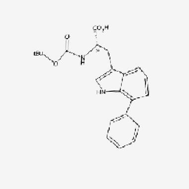 CC(C)(C)OC(=O)N[C@@H](Cc1c[nH]c2c(-c3ccccc3)cccc12)C(=O)O